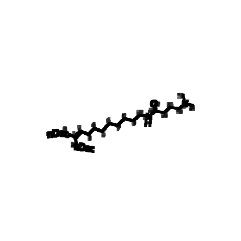 CCCCCCCCCCC(=CCCCCCCCCNC(=O)CCCN(C)C)CCCCCCCCCC